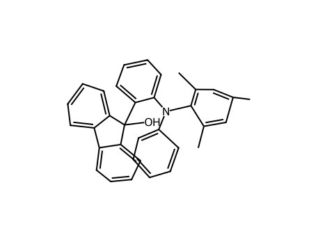 Cc1cc(C)c(N(c2ccccc2)c2ccccc2C2(O)c3ccccc3-c3ccccc32)c(C)c1